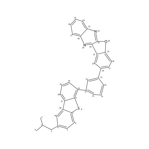 CC(C)Cc1ccc2sc3c(-c4cccc(-c5ccc6oc7nc8ccccc8nc7c6c5)c4)cccc3c2c1